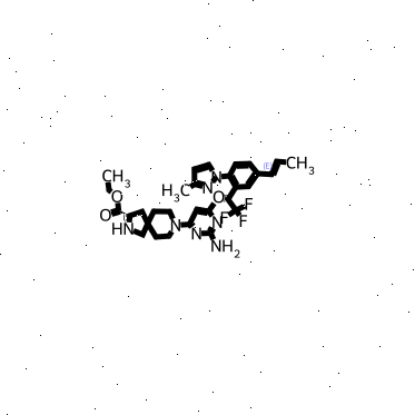 C/C=C/c1ccc(-n2ccc(C)n2)c([C@@H](Oc2cc(N3CCC4(CC3)CN[C@H](C(=O)OCC)C4)nc(N)n2)C(F)(F)F)c1